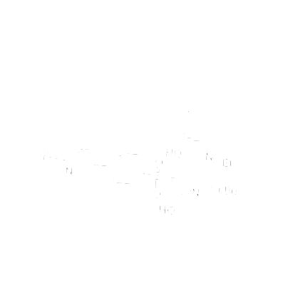 CCCCc1nc(O)c(S(=O)(=O)c2ccc(-c3ccc(F)nc3)cc2)c(O)c1N(CC)c1ccccc1